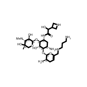 CN[C@@H]1[C@@H](O)[C@@H](O[C@@H]2[C@@H](O)[C@H](O[C@H]3OC(CNCCCN)=CC[C@H]3N)[C@@H](N)C[C@H]2NC(=O)C(O)C2CNC2)OC[C@]1(C)O